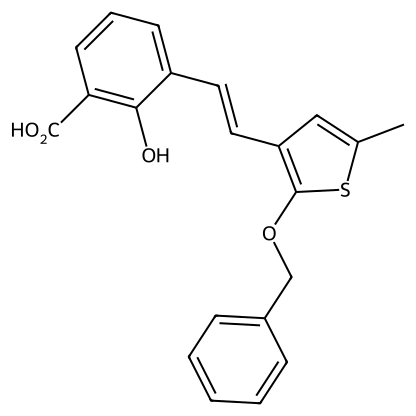 Cc1cc(C=Cc2cccc(C(=O)O)c2O)c(OCc2ccccc2)s1